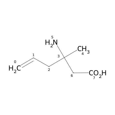 C=CCC(C)(N)CC(=O)O